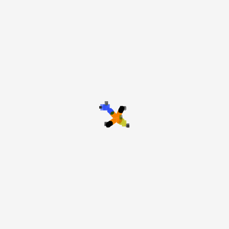 CP(C)([NH])=S